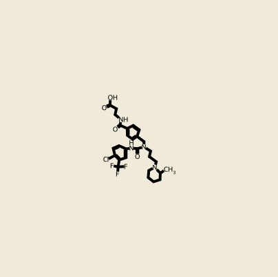 CC1CCCCN1CCCN(Cc1ccc(C(=O)NCCC(=O)O)cc1)C(=O)Nc1ccc(Cl)c(C(F)(F)F)c1